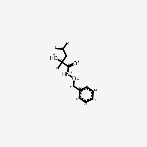 CC(C)CC(C)(O)C(=O)NOCc1ccccc1